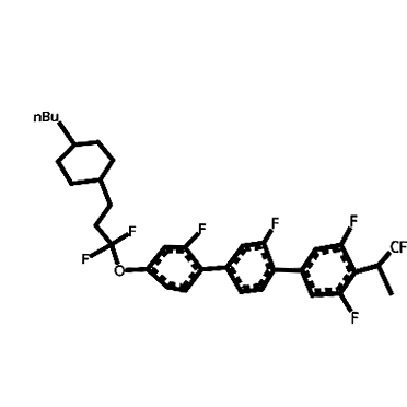 CCCCC1CCC(CCC(F)(F)Oc2ccc(-c3ccc(-c4cc(F)c(C(C)C(F)(F)F)c(F)c4)c(F)c3)c(F)c2)CC1